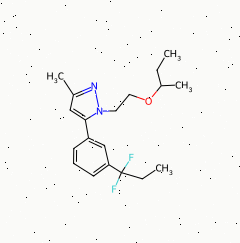 CCC(C)OCCn1nc(C)cc1-c1cccc(C(F)(F)CC)c1